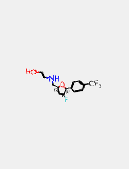 OCCNC[C@@H]1C[C@@H](F)[C@H](c2ccc(C(F)(F)F)cc2)O1